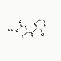 CC(C)(C)OC(=O)OC(=O)Nc1nccnc1Cl